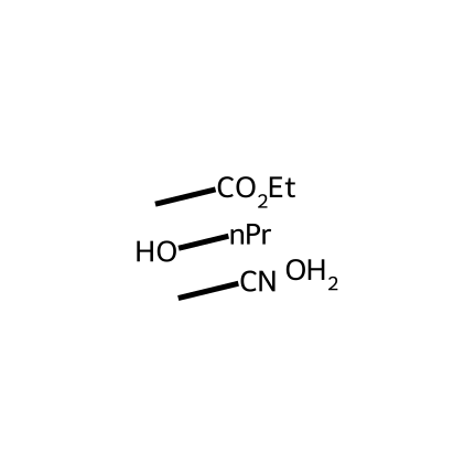 CC#N.CCCO.CCOC(C)=O.O